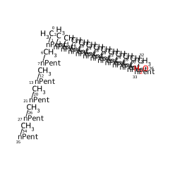 CCCCCC.CCCCCC.CCCCCC.CCCCCC.CCCCCC.CCCCCC.CCCCCC.CCCCCC.CCCCCC.CCCCCC.CCCCCC.CCCCCC.CCCCCC.CCCCCC.CCCCCC.CCCCCC.CCCCCC.CCCCCC.O